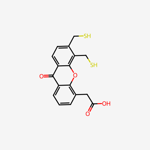 O=C(O)Cc1cccc2c(=O)c3ccc(CS)c(CS)c3oc12